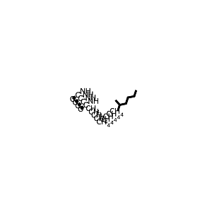 C.C.C.C.C.C.C.C.C.CCCCC(C)C.N=C=O.N=C=O.N=C=O.N=C=O